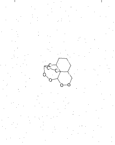 C1CC2COOC3OOC4CCC23C(C1)C4